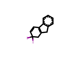 IC1(I)C=CC2=C(Cc3ccccc32)C1